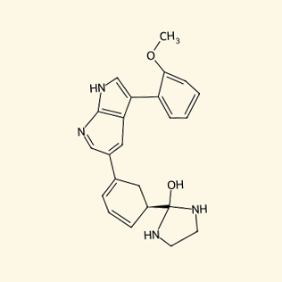 COc1ccccc1-c1c[nH]c2ncc(C3=CC=C[C@H](C4(O)NCCN4)C3)cc12